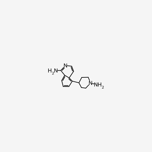 Nc1nccc2c(C3CCN(N)CC3)cccc12